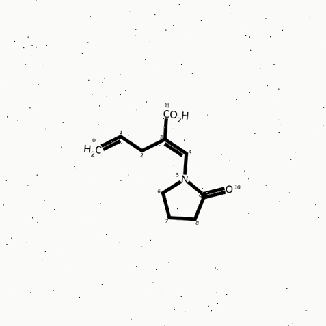 C=CCC(=CN1CCCC1=O)C(=O)O